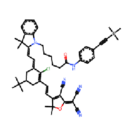 CC1(C)OC(=C(C#N)C#N)C(C#N)=C1C=CC1=C(Cl)C(=CC=C2N(CCCCCC(=O)Nc3ccc(C#C[Si](C)(C)C)cc3)c3ccccc3C2(C)C)CC(C(C)(C)C)C1